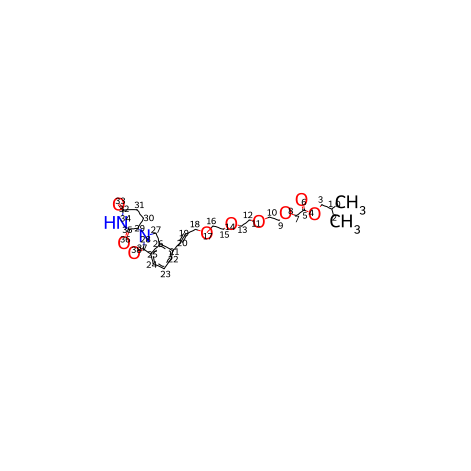 CC(C)COC(=O)COCCOCCOCCOCC#Cc1cccc2c1CN(C1CCC(=O)NC1=O)C2=O